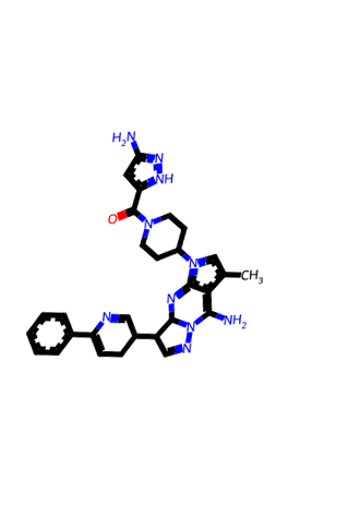 Cc1cn(C2CCN(C(=O)c3cc(N)n[nH]3)CC2)c2c1=C(N)N1N=CC(C3C=NC(c4ccccc4)=CC3)C1N=2